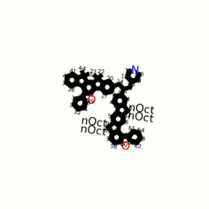 CCCCCCCCC1(CCCCCCCC)c2cc(C(Cc3ccncc3)Cc3ccc4c(c3)C(C)(C)c3c5c(c6c(oc7ccccc76)c3-4)-c3ccccc3C5(C)C)ccc2-c2cc3c(cc21)-c1c(ccc2oc4ccccc4c12)C3(CCCCCCCC)CCCCCCCC